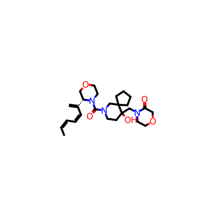 C=C(/C=C\C=C/C)[C@@H]1COCCN1C(=O)N1CCC(O)(CN2CCOCC2=O)C2(CCCC2)C1